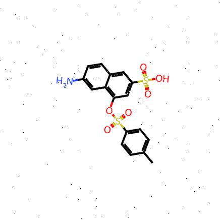 Cc1ccc(S(=O)(=O)Oc2cc(S(=O)(=O)O)cc3ccc(N)cc23)cc1